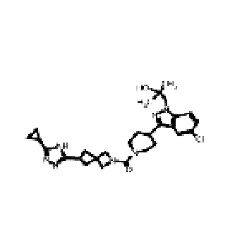 CC(C)(O)Cn1nc(C2CCN(C(=O)N3CC4(CC(c5nnc(C6CC6)[nH]5)C4)C3)CC2)c2cc(Cl)ccc21